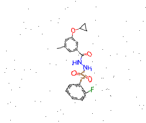 Cc1cc(OC2CC2)cc(C(=O)NNS(=O)(=O)c2ccccc2F)c1